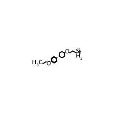 CCCOc1ccc([C@H]2CC[C@H](OCCC[SiH2]I)CC2)cc1